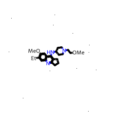 CCc1cc2nc3c(c(NC4CCN(CCOC)CC4)c2cc1OC)CCC3